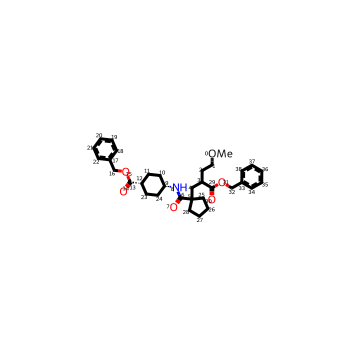 COCCC(CC1(C(=O)N[C@H]2CC[C@@H](C(=O)OCc3ccccc3)CC2)CCCC1)C(=O)OCc1ccccc1